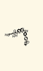 CC(C)(C)OC(=O)N1CCN(c2ccc(Nc3ncc4ccc(NC(=O)NCCCO)nc4n3)cc2)CC1